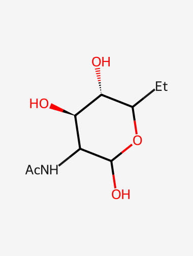 CCC1OC(O)C(NC(C)=O)[C@@H](O)[C@@H]1O